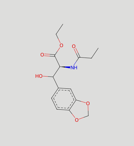 CCOC(=O)[C@@H](NC(=O)CC)C(O)c1ccc2c(c1)OCO2